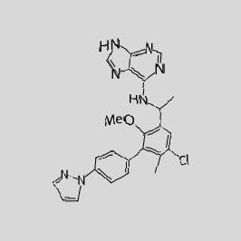 COc1c(C(C)Nc2ncnc3[nH]cnc23)cc(Cl)c(C)c1-c1ccc(-n2cccn2)cc1